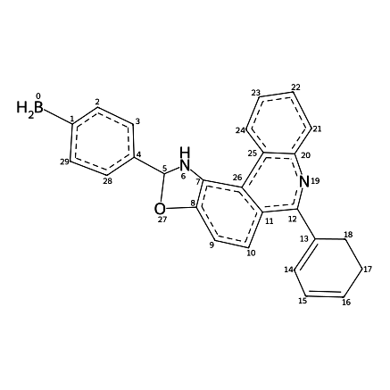 Bc1ccc(C2Nc3c(ccc4c(C5=CC=CCC5)nc5ccccc5c34)O2)cc1